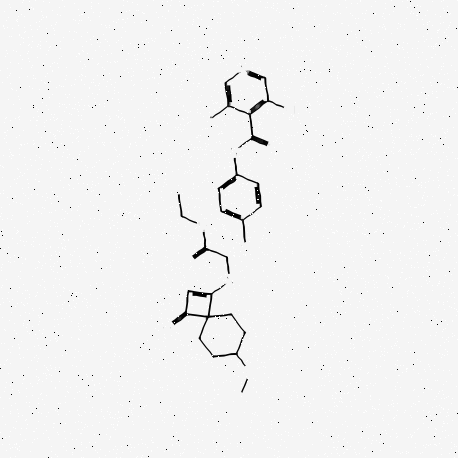 CCOC(=O)[C@H](Cc1ccc(NC(=O)c2c(Cl)cncc2Cl)cc1)NC1=CC(=O)C12CCC(OC)CC2